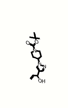 C=CC(O)c1cnn(C2CCN(C(=O)OC(C)(C)C)CC2)c1